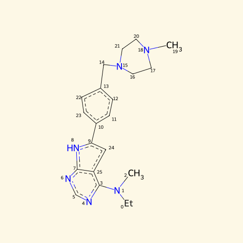 CCN(C)c1ncnc2[nH]c(-c3ccc(CN4CCN(C)CC4)cc3)cc12